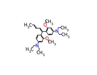 C/C=C/C=C(c1ccc(N(CC)CC)cc1OC)c1ccc(N(CC)CC)cc1OC